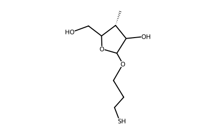 C[C@H]1C(CO)OC(OCCCS)C1O